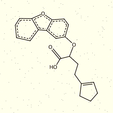 O=C(O)C(CCC1=CCCC1)Oc1ccc2oc3ccccc3c2c1